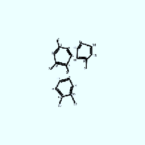 Cc1ccc(C)c(C)c1.Cc1ccccc1.Cc1ccccc1C